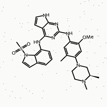 COc1cc(N2CCN(C)[C@H](C)C2)c(C)cc1Nc1nc(Nc2cccc3ccn(S(C)(=O)=O)c23)c2cc[nH]c2n1